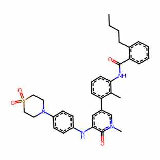 CCCCc1ccccc1C(=O)Nc1cccc(-c2cc(Nc3ccc(N4CCS(=O)(=O)CC4)cc3)c(=O)n(C)c2)c1C